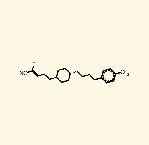 N#C/C(F)=C/CC[C@H]1CC[C@H](CCCCc2ccc(C(F)(F)F)cc2)CC1